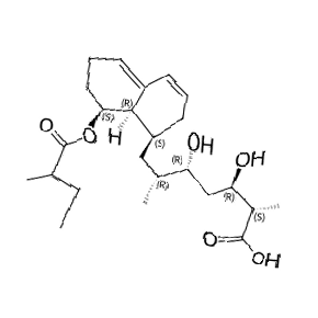 CCC(C)C(=O)O[C@H]1CCC=C2C=CC[C@@H](C[C@@H](C)[C@H](O)C[C@@H](O)[C@H](C)C(=O)O)[C@H]21